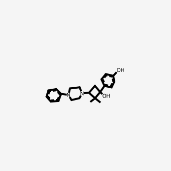 CC1(C)C(N2CCN(c3ccccc3)CC2)CC1(O)c1ccc(O)cc1